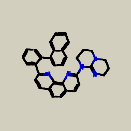 c1ccc(-c2cccc3ccccc23)c(-c2ccc3ccc4ccc(N5CCCN6CCCN=C65)nc4c3n2)c1